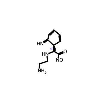 N=C1C=CC=C/C1=C(/NCCN)C(=O)N=O